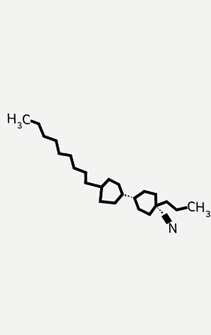 CCCCCCCCCC1CCC([C@H]2CC[C@](C#N)(CCC)CC2)CC1